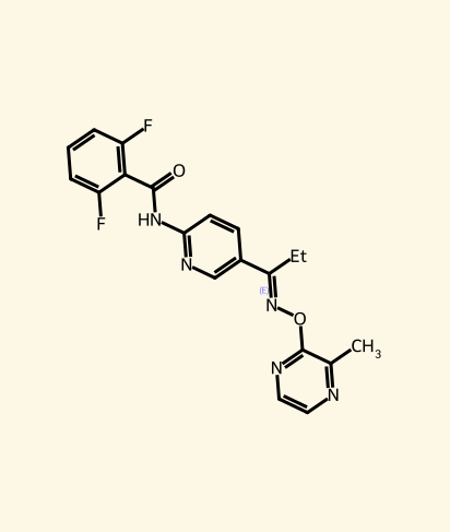 CC/C(=N\Oc1nccnc1C)c1ccc(NC(=O)c2c(F)cccc2F)nc1